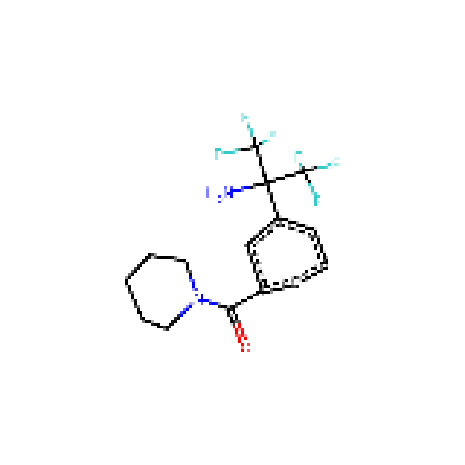 NC(c1cccc(C(=O)N2CCCCC2)c1)(C(F)(F)F)C(F)(F)F